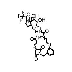 CC(=O)CSC1CC(=O)N(Cc2cccc(OCCNC(=O)NC[C@H]3OC4CCN(C(=O)C(F)(F)F)[C@@H]4[C@@H](O)[C@H]3O)c2)C1=O